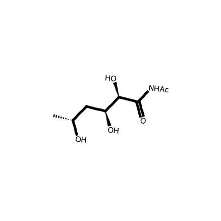 CC(=O)NC(=O)[C@H](O)[C@@H](O)C[C@@H](C)O